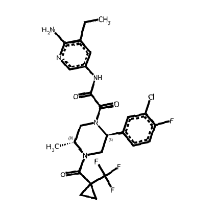 CCc1cc(NC(=O)C(=O)N2C[C@@H](C)N(C(=O)C3(C(F)(F)F)CC3)C[C@@H]2c2ccc(F)c(Cl)c2)cnc1N